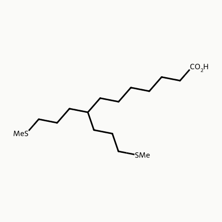 CSCCCC(CCCCCCC(=O)O)CCCSC